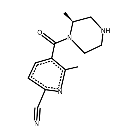 Cc1nc(C#N)ccc1C(=O)N1CCNC[C@@H]1C